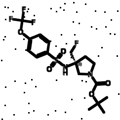 CC(C)(C)OC(=O)N1CC[C@](CF)(NS(=O)(=O)c2ccc(OC(F)(F)F)cc2)C1